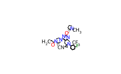 C=CC(=O)N1CCN(c2nc(OC[C@@H]3CCCN3C)nc3c2CC2(CC2)N(c2cccc(F)c2C(F)(F)F)C3)C[C@@H]1CC#N